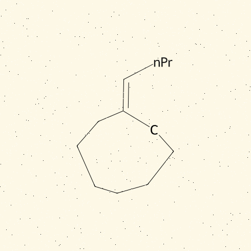 [CH2]CCC=C1CCCCCCC1